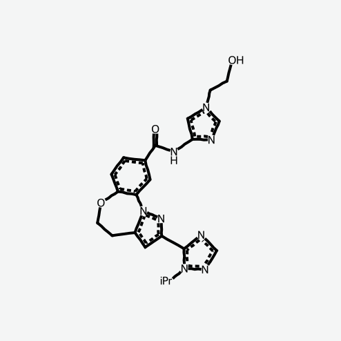 CC(C)n1ncnc1-c1cc2n(n1)-c1cc(C(=O)Nc3cn(CCO)cn3)ccc1OCC2